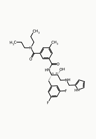 CCCN(CCC)C(=O)c1cc(C)cc(C(=O)N[C@@H](Cc2cc(F)cc(F)c2)[C@H](O)CNCc2ccc[nH]2)c1